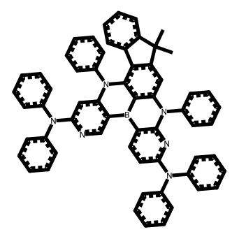 CC1(C)c2ccccc2-c2c1cc1c3c2N(c2ccccc2)c2cc(N(c4ccccc4)c4ccccc4)ncc2B3c2ccc(N(c3ccccc3)c3ccccc3)nc2N1c1ccccc1